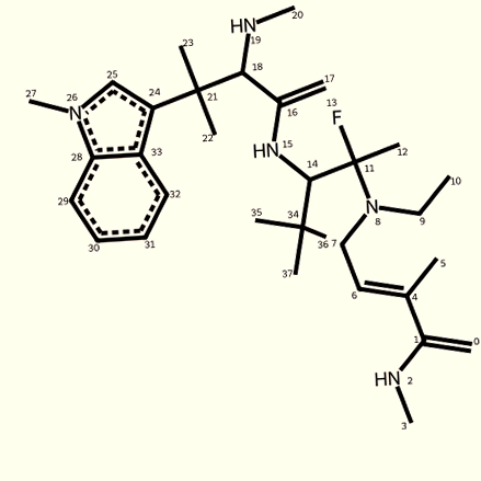 C=C(NC)/C(C)=C/CN(CC)C(C)(F)C(NC(=C)C(NC)C(C)(C)c1cn(C)c2ccccc12)C(C)(C)C